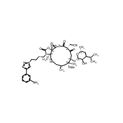 CC[C@H]1OC(=O)[C@H](CC#N)C(=O)C[C@@H](O[C@@H]2O[C@H](C)CC(N(C)C)C2O)[C@](C)(OC)C[C@@H](C)CN[C@H](C)[C@H]2N(CCCCn3cc(-c4cccc(N)c4)nn3)C(=O)O[C@]12C